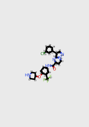 O=C(Nc1ccc(OC2CCNCC2)c(C(F)(F)F)c1)c1ccn2ncc(-c3cccc(Cl)c3)c2n1